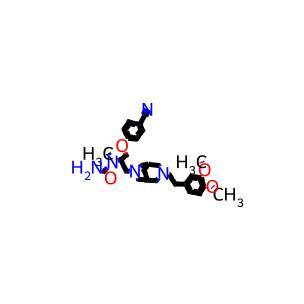 COc1ccc(CCN2CC3CC(C2)CN(CC(COc2ccc(C#N)cc2)N(C)C(N)=O)C3)cc1OC